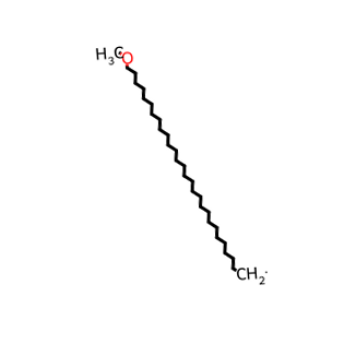 [CH2]CCCCCCCCCCCCCCCCCCCCCCCCCCCOC